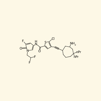 CCCC1(CCC)CCCC(C#Cc2cc(C(=O)Nc3cc(F)c(=O)n(CC(F)F)c3)sc2Cl)CC(N)C1